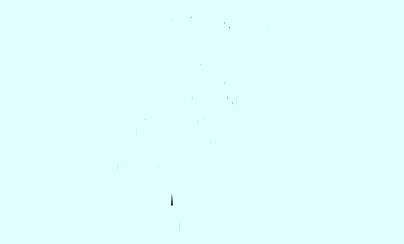 C#C[C@@H]1[C@@H](CC(=O)Nc2cc(Cl)nc(Cl)c2)C1(C)C